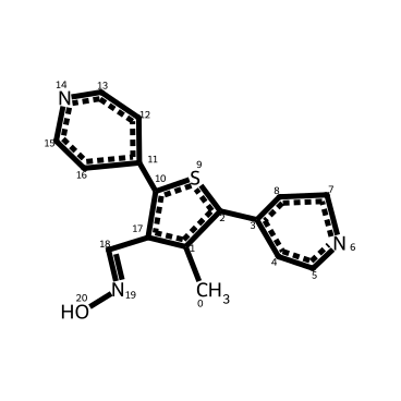 Cc1c(-c2ccncc2)sc(-c2ccncc2)c1C=NO